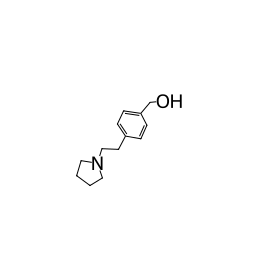 OCc1ccc(CCN2CCCC2)cc1